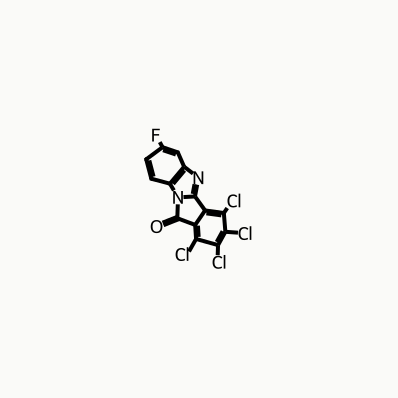 O=C1c2c(Cl)c(Cl)c(Cl)c(Cl)c2-c2nc3cc(F)ccc3n21